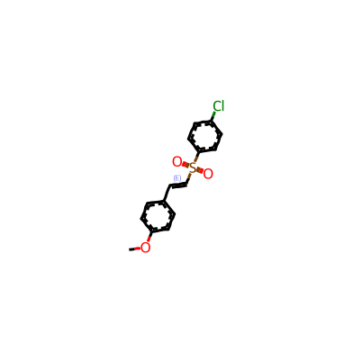 COc1ccc(/C=C/S(=O)(=O)c2ccc(Cl)cc2)cc1